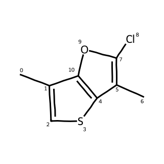 Cc1csc2c(C)c(Cl)oc12